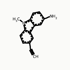 C#Cc1ccc2c(c1)c1cc(N)ccc1n2C